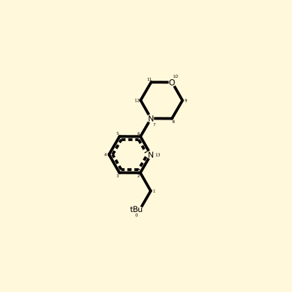 CC(C)(C)Cc1cccc(N2CCOCC2)n1